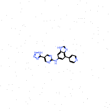 c1cc(-c2cc(Nc3ncc(-c4nnn[nH]4)cn3)cc3[nH]cnc23)ccn1